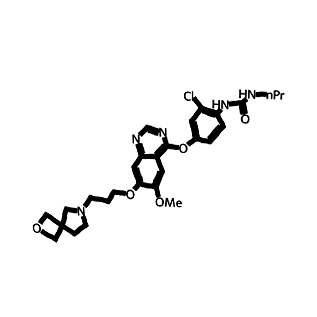 CCCNC(=O)Nc1ccc(Oc2ncnc3cc(OCCCN4CCC5(COC5)C4)c(OC)cc23)cc1Cl